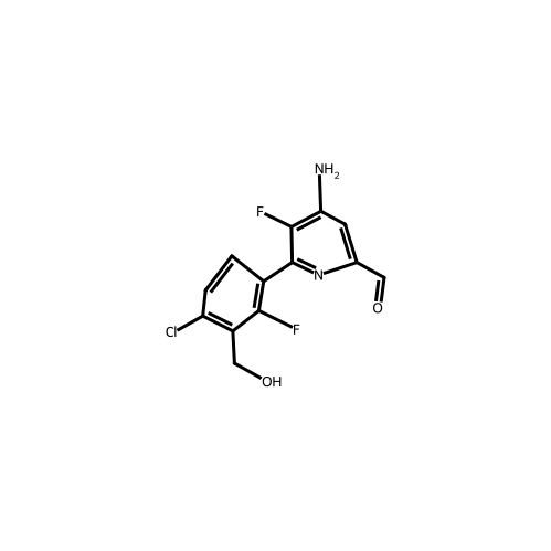 Nc1cc(C=O)nc(-c2ccc(Cl)c(CO)c2F)c1F